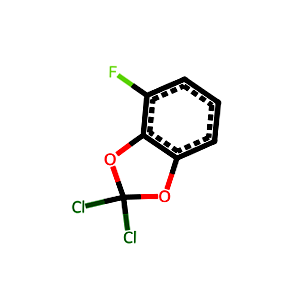 Fc1cccc2c1OC(Cl)(Cl)O2